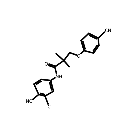 CC(C)(COc1ccc(C#N)cc1)C(=O)Nc1ccc(C#N)c(Cl)c1